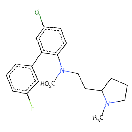 CN1CCCC1CCN(C(=O)O)c1ccc(Cl)cc1-c1cccc(F)c1